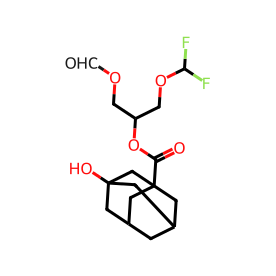 O=COCC(COC(F)F)OC(=O)C12CC3CC(CC(O)(C3)C1)C2